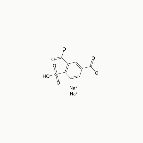 O=C([O-])c1ccc(S(=O)(=O)O)c(C(=O)[O-])c1.[Na+].[Na+]